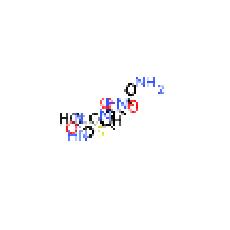 CC(NC(=O)[C@H]1CC[C@@H](N)C1)[C@H]1C(=O)N2C(C(=O)O)=C(S[C@@H]3CN[C@H](C(=O)N(C)C)C3)[C@H](C)[C@H]12